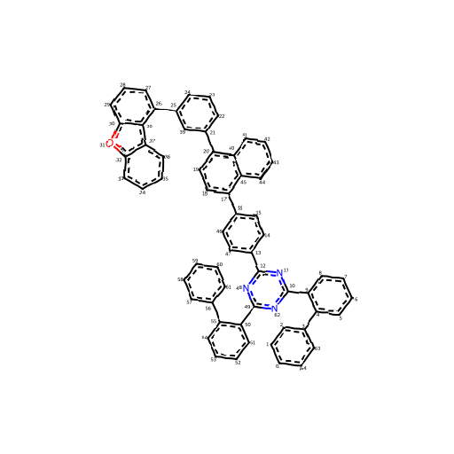 c1ccc(-c2ccccc2-c2nc(-c3ccc(-c4ccc(-c5cccc(-c6cccc7oc8ccccc8c67)c5)c5ccccc45)cc3)nc(-c3ccccc3-c3ccccc3)n2)cc1